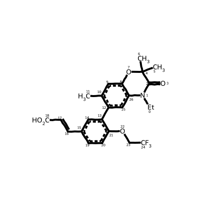 CCN1C(=O)C(C)(C)Oc2cc(C)c(-c3cc(C=CC(=O)O)ccc3OCC(F)(F)F)cc21